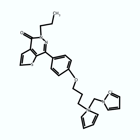 CCCn1nc(-c2ccc(OCCC[N+]3(CN4[C+]=CC=C4)C=CC=C3)cc2)c2sccc2c1=O